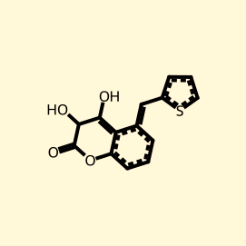 O=C1Oc2cccc(=Cc3cccs3)c2=C(O)C1O